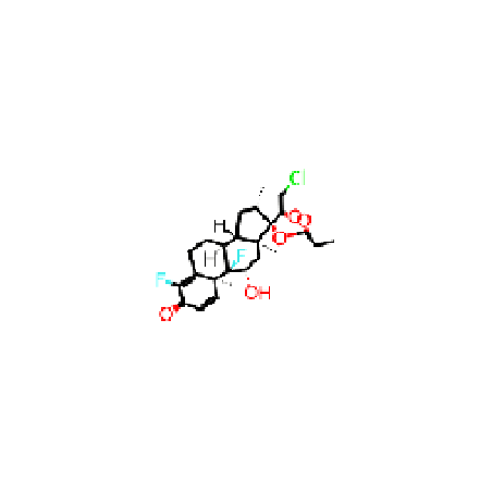 CCC(=O)O[C@]1(C(=O)CCl)[C@@H](C)C[C@H]2[C@@H]3CCC4=C(F)C(=O)C=C[C@]4(C)[C@@]3(F)[C@@H](O)C[C@@]21C